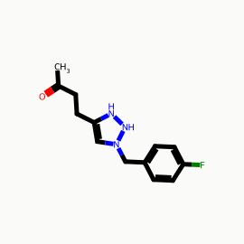 CC(=O)CCC1=CN(Cc2ccc(F)cc2)NN1